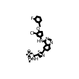 CON[C@H](CS(C)(=O)=O)c1cnc(-c2ccc3ncnc(Nc4ccc(OCc5cccc(F)c5)c(Cl)c4)c3c2)s1